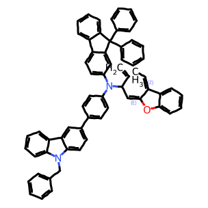 C=CC(/C=c1/oc2ccccc2/c1=C/C)N(c1ccc(-c2ccc3c(c2)c2ccccc2n3Cc2ccccc2)cc1)c1ccc2c(c1)C(c1ccccc1)(c1ccccc1)c1ccccc1-2